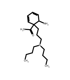 CCCCN(CCCC)CCCC1(C(N)=O)C=CC=CC1N